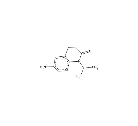 CC(C)N1C(=O)CCc2cc(N)ccc21